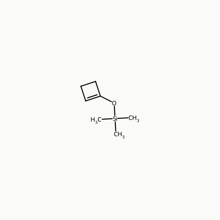 C[Si](C)(C)OC1=CCC1